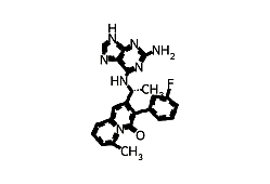 Cc1cccc2cc([C@@H](C)Nc3nc(N)nc4[nH]cnc34)c(-c3cccc(F)c3)c(=O)n12